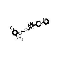 Nc1ccc(Cl)cc1OCCOCc1nnc(C2CCN(c3ccccn3)CC2)o1